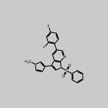 Cn1ccc(-c2cn(S(=O)(=O)c3ccccc3)c3ncc(-c4ccc(F)cc4F)cc23)c1